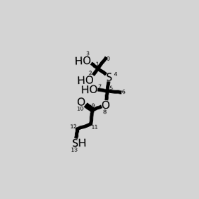 CC(O)(O)SC(C)(O)OC(=O)CCS